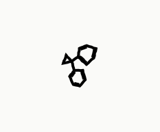 c1ccc(C2(c3ccccc3)CC2)cc1